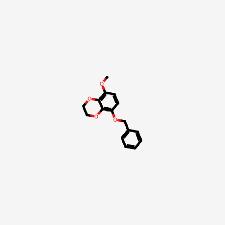 COc1ccc(OCc2ccccc2)c2c1OCCO2